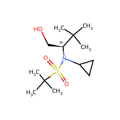 CC(C)(C)[C@H](CO)N(C1CC1)S(=O)(=O)C(C)(C)C